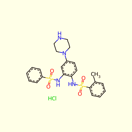 Cc1ccccc1S(=O)(=O)Nc1ccc(N2CCNCC2)cc1NS(=O)(=O)c1ccccc1.Cl